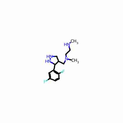 CNCCN(C)CC1CNNC1c1cc(F)ccc1F